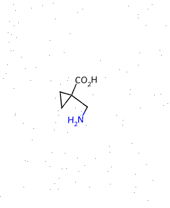 NCC1(C(=O)O)CC1